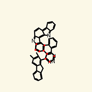 Cc1cc2c(c(-c3nnnc(-c4ccccc4-c4c(-c5ccccc5)ccc5c4-c4c6c(ccc4=N5)=c4ccccc4=N6)c3-c3ccccc3)c1C)Cc1ccccc1-2